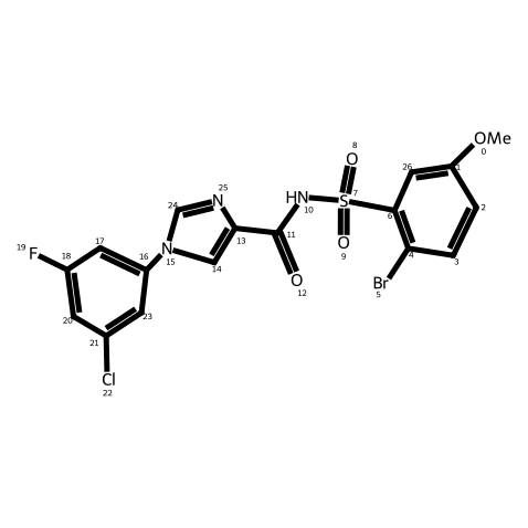 COc1ccc(Br)c(S(=O)(=O)NC(=O)c2cn(-c3cc(F)cc(Cl)c3)cn2)c1